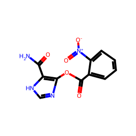 NC(=O)c1[nH]cnc1OC(=O)c1ccccc1[N+](=O)[O-]